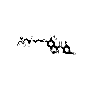 CS(=O)(=O)CC(=O)NCCCOc1cc2ncnc(Nc3ccc(Br)cc3F)c2cc1N